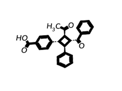 CC(=O)[C@H]1[C@H](C(=O)c2ccccc2)[C@@H](c2ccccc2)[C@@H]1c1ccc(C(=O)O)cc1